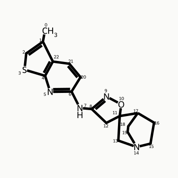 Cc1csc2nc(NC3=NOC4(C3)CN3CCC4CC3)ccc12